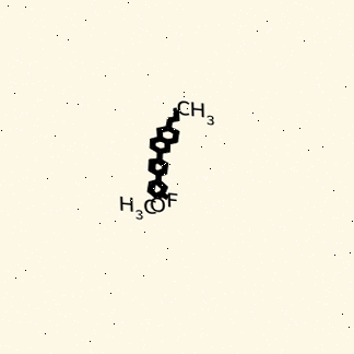 CCCCC1CCC2CC(c3ccc(-c4ccc(OC)c(F)c4)cc3)CCC2C1